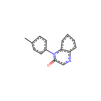 Cc1ccc(-n2c(=O)cnc3ccccc32)cc1